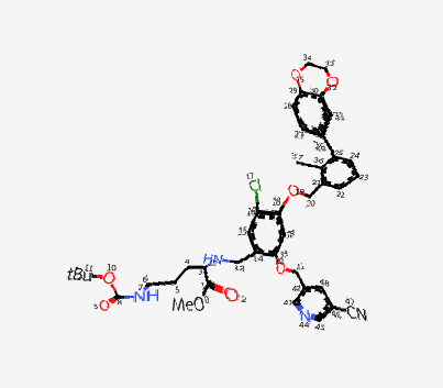 COC(=O)C(CCCNC(=O)OC(C)(C)C)NCc1cc(Cl)c(OCc2cccc(-c3ccc4c(c3)OCCO4)c2C)cc1OCc1cncc(C#N)c1